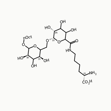 CCCCCCCCOC1OC(CO[C@H]2OC(C(=O)NCCCC[C@H](N)C(=O)O)C(O)C(O)[C@H]2O)[C@@H](O)C(O)[C@H]1O